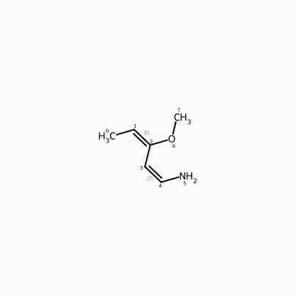 C/C=C(\C=C/N)OC